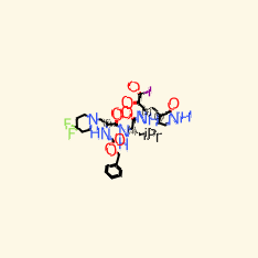 CC(C)C[C@H](NC(=O)[C@H](CN1CCC(F)(F)CC1)NC(=O)OCc1ccccc1)C(=O)N[C@@H](C[C@@H]1CCNC1=O)C(=O)C(=O)I